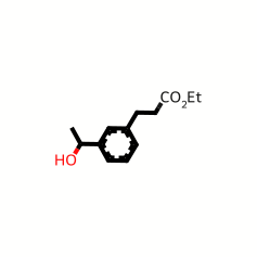 CCOC(=O)CCc1cccc(C(C)O)c1